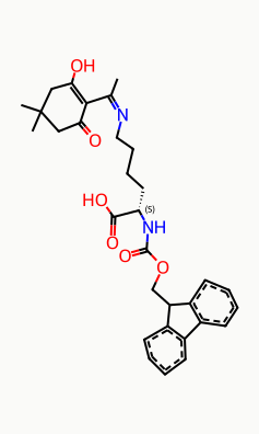 CC(=NCCCC[C@H](NC(=O)OCC1c2ccccc2-c2ccccc21)C(=O)O)C1=C(O)CC(C)(C)CC1=O